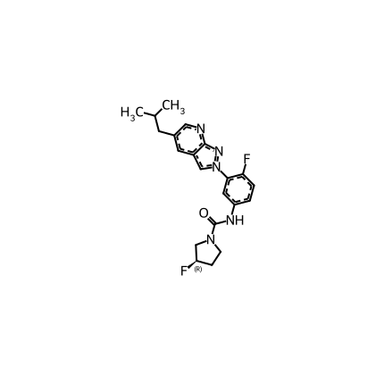 CC(C)Cc1cnc2nn(-c3cc(NC(=O)N4CC[C@@H](F)C4)ccc3F)cc2c1